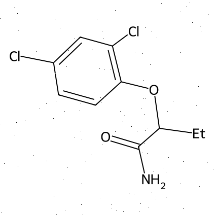 CCC(Oc1ccc(Cl)cc1Cl)C(N)=O